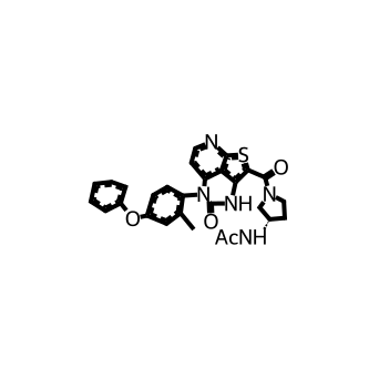 CC(=O)N[C@H]1CCN(C(=O)c2sc3nccc4c3c2NC(=O)N4c2ccc(Oc3ccccc3)cc2C)C1